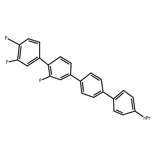 CCCc1ccc(-c2ccc(-c3ccc(-c4ccc(F)c(F)c4)c(F)c3)cc2)cc1